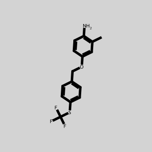 Cc1cc(OCc2ccc(SC(F)(F)F)cc2)ccc1N